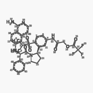 CC(C)S(=O)(=O)c1ccc(NC(=O)COC(=O)C(F)(F)F)cc1[C@H]1CCCN1C(=O)[C@H](Nc1ccc2c(N)nccc2c1)c1ccccc1